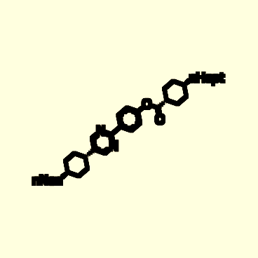 CCCCCCCCC[C@H]1CC[C@H](c2cnc(-c3ccc(OC(=O)[C@H]4CC[C@H](CCCCCCC)CC4)cc3)nc2)CC1